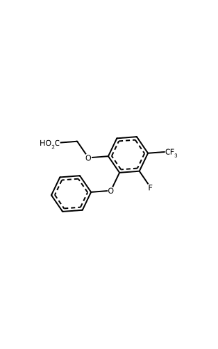 O=C(O)COc1ccc(C(F)(F)F)c(F)c1Oc1ccccc1